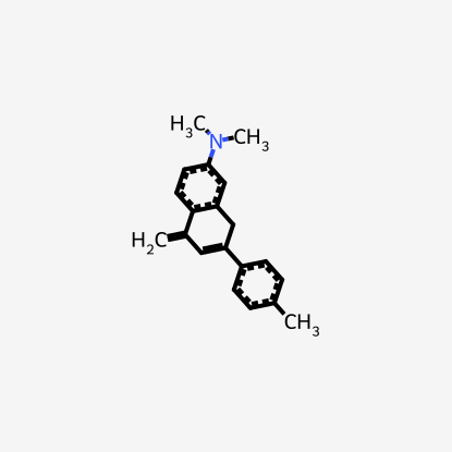 C=C1C=C(c2ccc(C)cc2)Cc2cc(N(C)C)ccc21